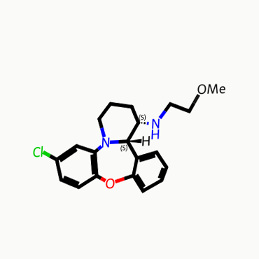 COCCN[C@H]1CCCN2c3cc(Cl)ccc3Oc3ccccc3[C@@H]12